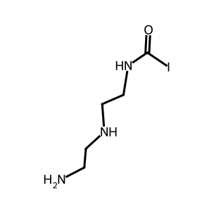 NCCNCCNC(=O)I